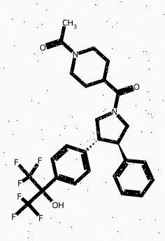 CC(=O)N1CCC(C(=O)N2C[C@@H](c3ccccc3)[C@H](c3ccc(C(O)(C(F)(F)F)C(F)(F)F)cc3)C2)CC1